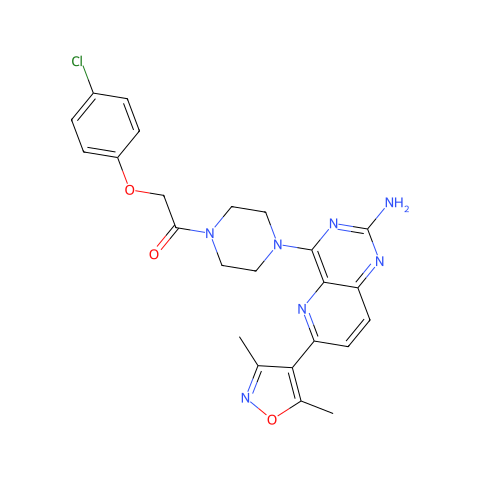 Cc1noc(C)c1-c1ccc2nc(N)nc(N3CCN(C(=O)COc4ccc(Cl)cc4)CC3)c2n1